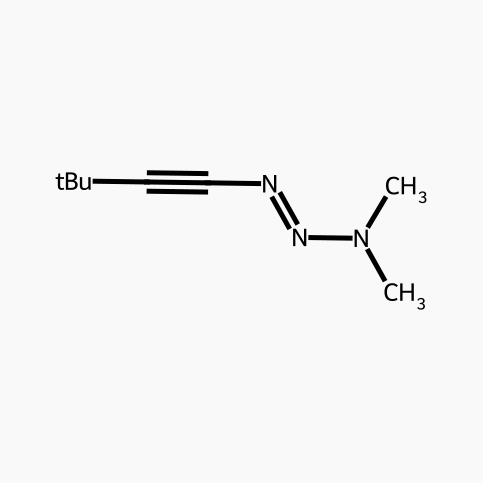 CN(C)N=NC#CC(C)(C)C